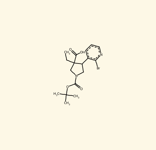 CCC1(C(=O)O)CN(C(=O)OC(C)(C)C)CC1c1cccnc1Br